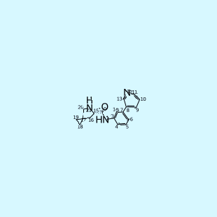 O=C(Nc1cccc(-c2cccnc2)c1)[C@@H]1CC2(CC2)CN1